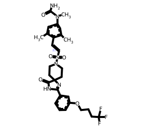 Cc1cc(N(C)C(N)=O)cc(C)c1/C=C/S(=O)(=O)N1CCC2(CC1)N=C(c1cccc(OCCCC(F)(F)F)c1)NC2=O